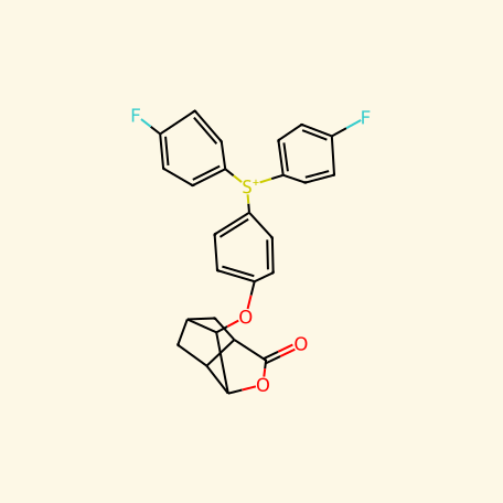 O=C1OC2C3CC(CC13)C2Oc1ccc([S+](c2ccc(F)cc2)c2ccc(F)cc2)cc1